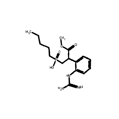 CCCCCP(=O)(O)CC(C(=O)OC)c1ccccc1NC(=N)N